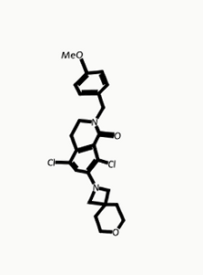 COc1ccc(CN2CCc3c(Cl)cc(N4CC5(CCOCC5)C4)c(Cl)c3C2=O)cc1